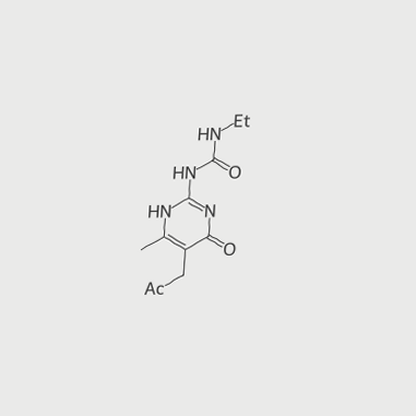 CCNC(=O)Nc1nc(=O)c(CC(C)=O)c(C)[nH]1